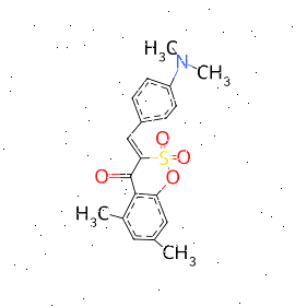 Cc1cc(C)c2c(c1)OS(=O)(=O)C(=Cc1ccc(N(C)C)cc1)C2=O